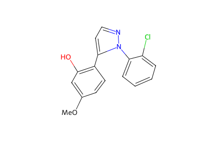 COc1ccc(-c2ccnn2-c2ccccc2Cl)c(O)c1